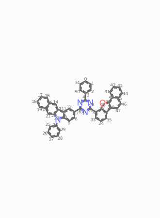 c1ccc(-c2nc(-c3ccc4c(c3)c3cc5ccccc5cc3n4-c3ccccc3)nc(-c3cccc4c3oc3c5ccccc5ccc43)n2)cc1